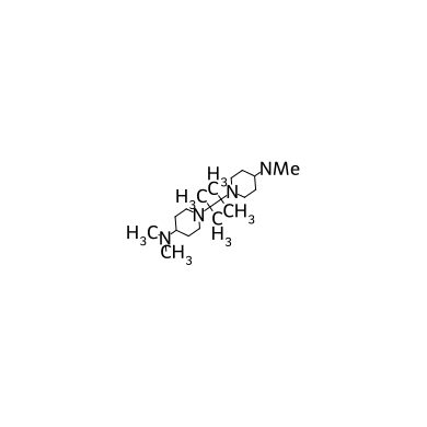 CNC1CCN(C(C)(C)C(C)(C)N2CCC(N(C)C)CC2)CC1